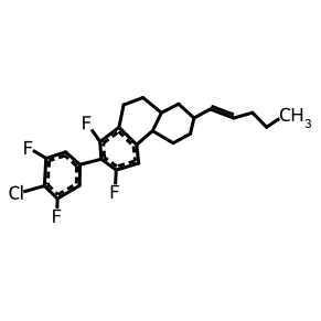 CCC/C=C/C1CCC2c3cc(F)c(-c4cc(F)c(Cl)c(F)c4)c(F)c3CCC2C1